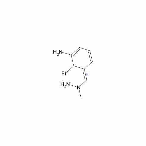 CCC1C(N)=CC=C/C1=C/N(C)N